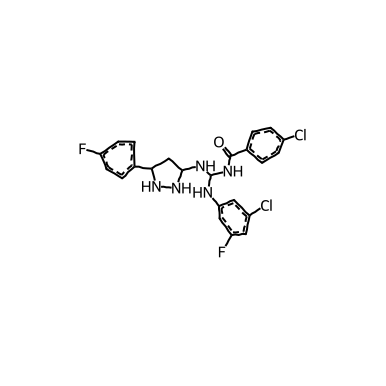 O=C(NC(Nc1cc(F)cc(Cl)c1)NC1CC(c2ccc(F)cc2)NN1)c1ccc(Cl)cc1